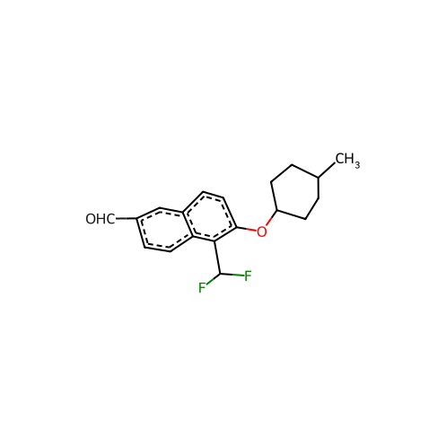 CC1CCC(Oc2ccc3cc(C=O)ccc3c2C(F)F)CC1